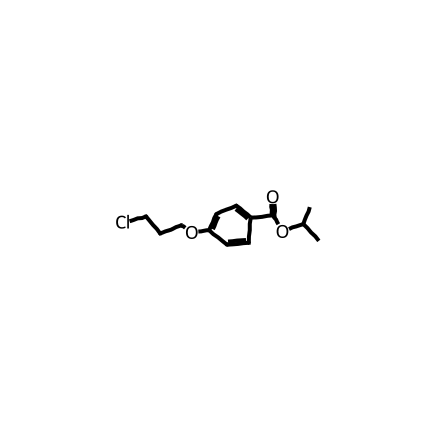 CC(C)OC(=O)c1ccc(OCCCCl)cc1